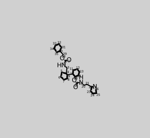 O=C(NCc1ccccc1-c1ccccc1OC(=O)NCCc1ccccn1)OCc1ccccc1